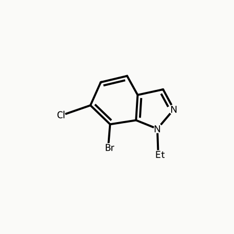 CCn1ncc2ccc(Cl)c(Br)c21